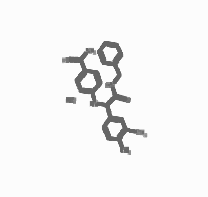 Cc1ccc(C(Nc2ccc(C(=N)N)cc2)C(=O)NCc2ccccc2)cc1C.Cl